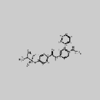 CNc1ccc(NC(=O)c2ccc(CS(=O)(=O)C(C)C)cc2)cc1-c1ccccn1